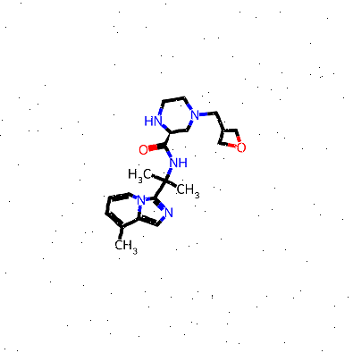 Cc1cccn2c(C(C)(C)NC(=O)[C@@H]3CN(CC4COC4)CCN3)ncc12